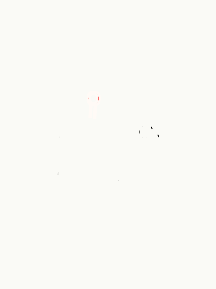 N#CC1C=CCCC1=O